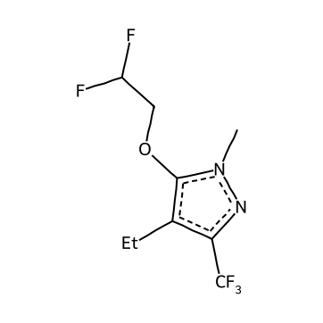 CCc1c(C(F)(F)F)nn(C)c1OCC(F)F